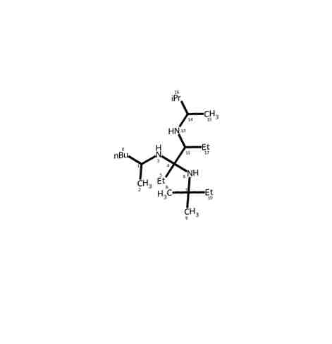 CCCCC(C)NC(CC)(NC(C)(C)CC)[C](CC)NC(C)C(C)C